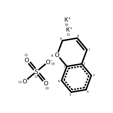 C1=Cc2ccccc2OC1.O=S(=O)([O-])[O-].[K+].[K+]